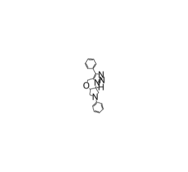 c1ccc(-c2nnn3c2COC2CN(c4ccccc4)C[C@H]23)cc1